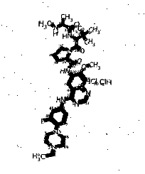 CCN1CCN(c2ccc(Nc3ncnc4cc(OC)c(NC(=O)C5CCCN5C(=O)C(NC(=O)C(C)NC)C(C)(C)C)cc34)cc2F)CC1.Cl.Cl